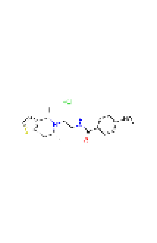 C[C@@H]1Cc2sccc2[C@H](C)N1CCNC(=O)c1ccc([N+](=O)[O-])cc1.Cl